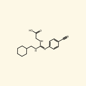 N#Cc1ccc(N=C(NCC(=O)O)NCC2CCCCC2)cc1